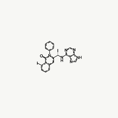 O=c1c2c(I)cccc2cc([C@H](I)Nc2ncnc3[nH]cnc23)n1-c1ccccc1